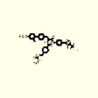 Cc1cc(C(=O)O)ccc1-c1ccc(CC(NC(=O)C2CCC(CNC(=O)OC(C)(C)C)CC2)C(=O)Nc2ccc(-c3nnc(C(F)(F)C(F)(F)F)[nH]3)cc2)cc1